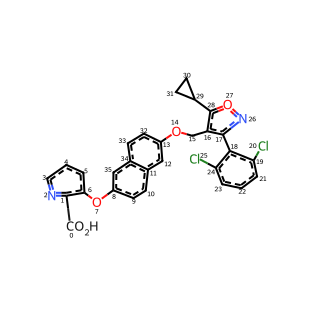 O=C(O)c1ncccc1Oc1ccc2cc(OCc3c(-c4c(Cl)cccc4Cl)noc3C3CC3)ccc2c1